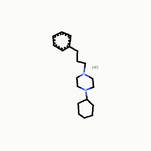 Cl.c1ccc(CCCN2CCN(C3CCCCC3)CC2)cc1